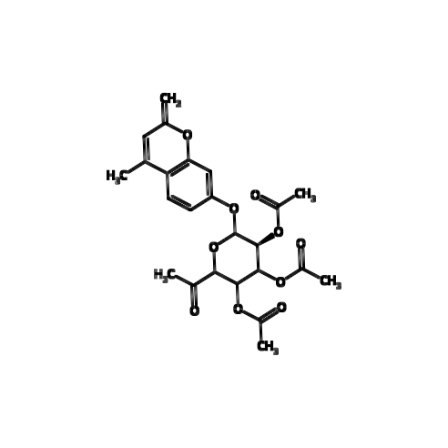 C=C1C=C(C)c2ccc(OC3OC(C(C)=O)C(OC(C)=O)C(OC(C)=O)[C@@H]3OC(C)=O)cc2O1